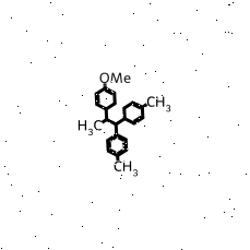 COC1=CCC(C(C)C(c2ccc(C)cc2)C2C=CC(C)=CC2)C=C1